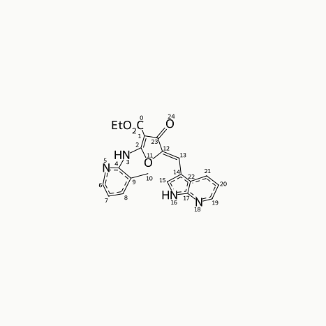 CCOC(=O)C1=C(Nc2ncccc2C)OC(=Cc2c[nH]c3ncccc23)C1=O